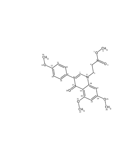 COC(=O)CCn1cc(-c2ccc(OC)cc2)c(=O)c2c(OC)cc(OC)cc21